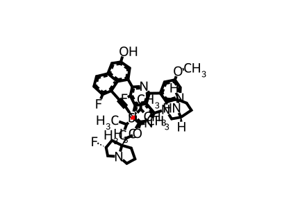 COc1cncc(-c2nc(-c3cc(O)cc4ccc(F)c(C#C[Si](C(C)C)(C(C)C)C(C)C)c34)c(F)c3nc(OC[C@@]45CCCN4C[C@H](F)C5)nc(N4C[C@H]5CC[C@@H](C4)N5)c23)c1